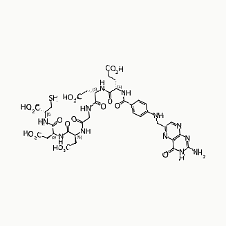 Nc1nc2ncc(CNc3ccc(C(=O)N[C@@H](CCC(=O)O)C(=O)N[C@@H](CC(=O)O)C(=O)NCC(=O)N[C@@H](CC(=O)O)C(=O)N[C@@H](CC(=O)O)C(=O)N[C@@H](CS)C(=O)O)cc3)nc2c(=O)[nH]1